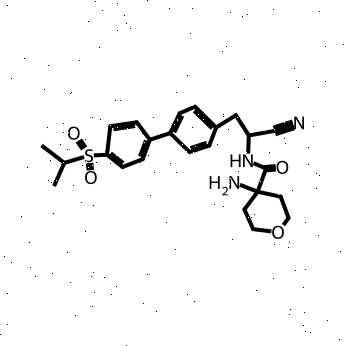 CC(C)S(=O)(=O)c1ccc(-c2ccc(CC(C#N)NC(=O)C3(N)CCOCC3)cc2)cc1